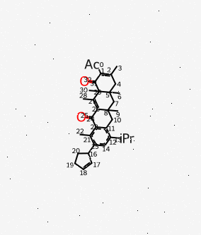 CC(=O)C1=C(C)CC2(C)CC3(C)Cc4c(C(C)C)cc(C5C=CCC5)c(C)c4C(=O)C3=C(C)C2(C)C1=O